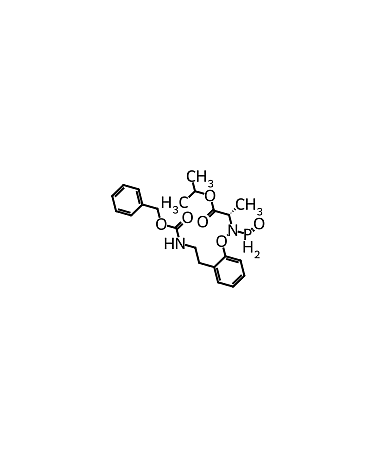 CC(C)OC(=O)[C@H](C)N(Oc1ccccc1CCNC(=O)OCc1ccccc1)[PH2]=O